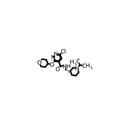 CC(C)N1CCC[C@H](CNC(=O)c2cc(Cl)nnc2OC2CCOCC2)C1